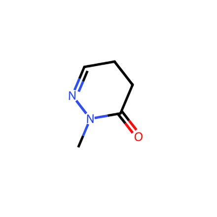 CN1N=CCCC1=O